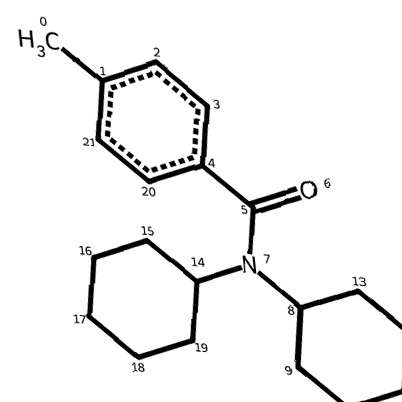 Cc1ccc(C(=O)N(C2CCCCC2)C2CCCCC2)cc1